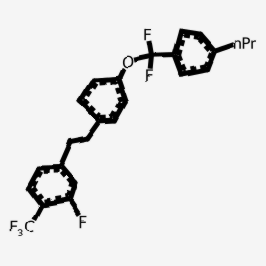 CCCc1ccc(C(F)(F)Oc2ccc(CCc3ccc(C(F)(F)F)c(F)c3)cc2)cc1